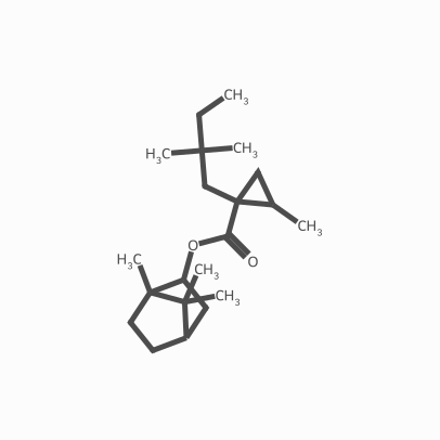 CCC(C)(C)CC1(C(=O)OC2CC3CCC2(C)C3(C)C)CC1C